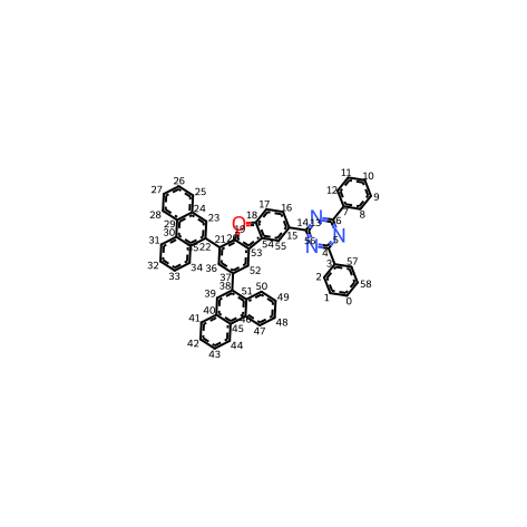 c1ccc(-c2nc(-c3ccccc3)nc(-c3ccc4oc5c(-c6cc7ccccc7c7ccccc67)cc(-c6cc7ccccc7c7ccccc67)cc5c4c3)n2)cc1